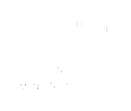 CNc1ccn(C2OC(COP(O)O)CC2(F)F)c(=O)n1